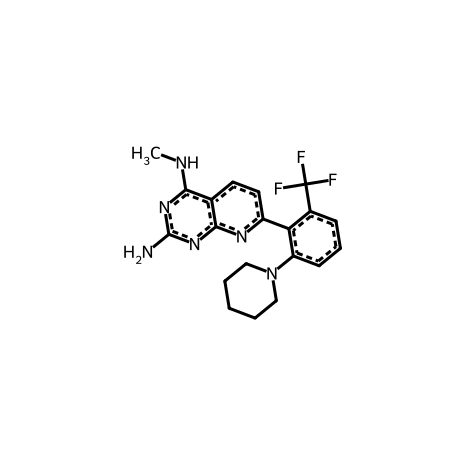 CNc1nc(N)nc2nc(-c3c(N4CCCCC4)cccc3C(F)(F)F)ccc12